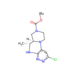 C[C@H]1Nc2nnc(Cl)cc2N2CCN(C(=O)OC(C)(C)C)C[C@H]12